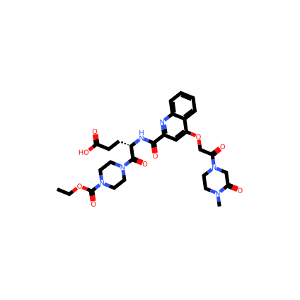 CCOC(=O)N1CCN(C(=O)[C@H](CCC(=O)O)NC(=O)c2cc(OCC(=O)N3CCN(C)C(=O)C3)c3ccccc3n2)CC1